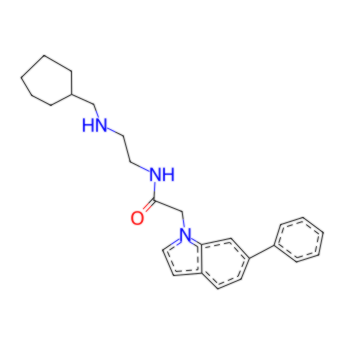 O=C(Cn1ccc2ccc(-c3ccccc3)cc21)NCCNCC1CCCCC1